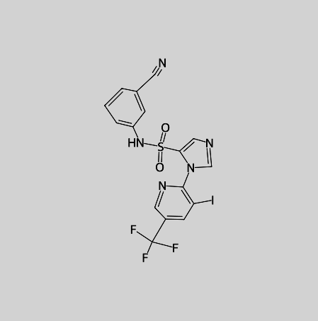 N#Cc1cccc(NS(=O)(=O)c2cncn2-c2ncc(C(F)(F)F)cc2I)c1